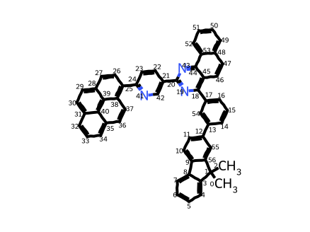 CC1(C)c2ccccc2-c2ccc(-c3cccc(-c4nc(-c5ccc(-c6ccc7ccc8cccc9ccc6c7c89)nc5)nc5c4ccc4ccccc45)c3)cc21